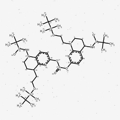 CC(C)(C)[S+]([O-])NC1CCN(CCO[Si](C)(C)C(C)(C)C)c2nc(O[PH](=O)Oc3ccc4c(n3)C(CCO[Si](C)(C)C(C)(C)C)CCN4N[S+]([O-])C(C)(C)C)ccc21